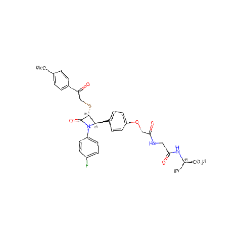 COc1ccc(C(=O)CS[C@H]2C(=O)N(c3ccc(F)cc3)[C@@H]2c2ccc(OCC(=O)NCC(=O)N[C@@H](C(=O)O)C(C)C)cc2)cc1